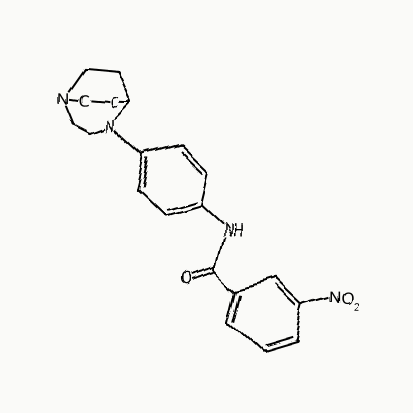 O=C(Nc1ccc(N2CCN3CCC2CC3)cc1)c1cccc([N+](=O)[O-])c1